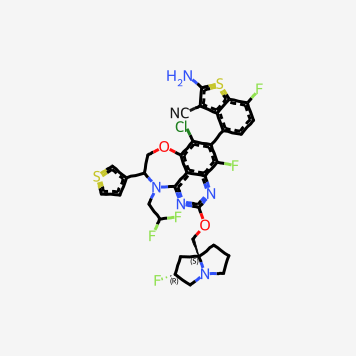 N#Cc1c(N)sc2c(F)ccc(-c3c(Cl)c4c5c(nc(OC[C@@]67CCCN6C[C@H](F)C7)nc5c3F)N(CC(F)F)C(c3ccsc3)CO4)c12